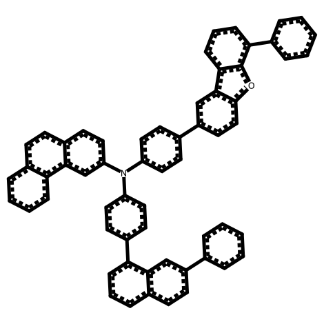 c1ccc(-c2ccc3cccc(-c4ccc(N(c5ccc(-c6ccc7oc8c(-c9ccccc9)cccc8c7c6)cc5)c5ccc6ccc7ccccc7c6c5)cc4)c3c2)cc1